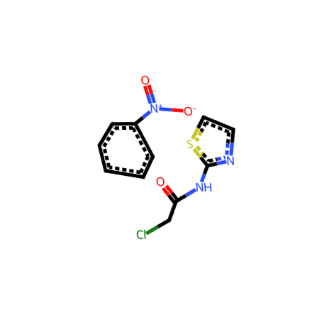 O=C(CCl)Nc1nccs1.O=[N+]([O-])c1ccccc1